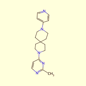 Cc1nccc(N2CCC3(CCN(c4ccncc4)CC3)CC2)n1